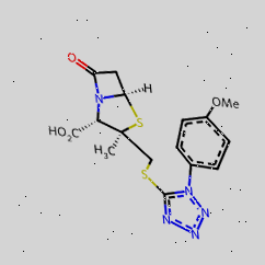 COc1ccc(-n2nnnc2SC[C@]2(C)S[C@@H]3CC(=O)N3[C@H]2C(=O)O)cc1